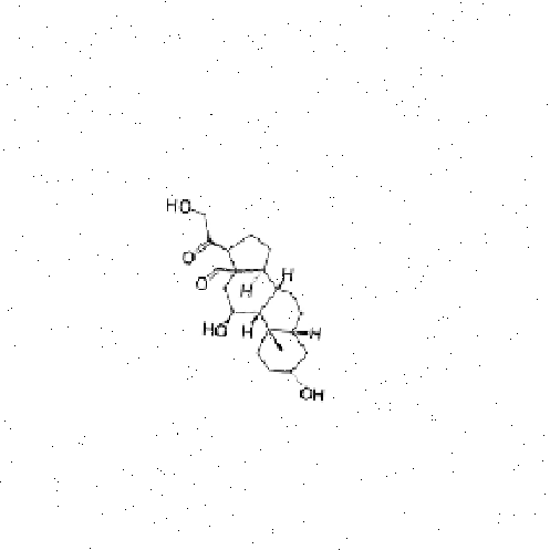 C[C@]12CC[C@@H](O)C[C@H]1CC[C@@H]1[C@H]2[C@@H](O)C[C@]2(C=O)[C@@H](C(=O)CO)CC[C@@H]12